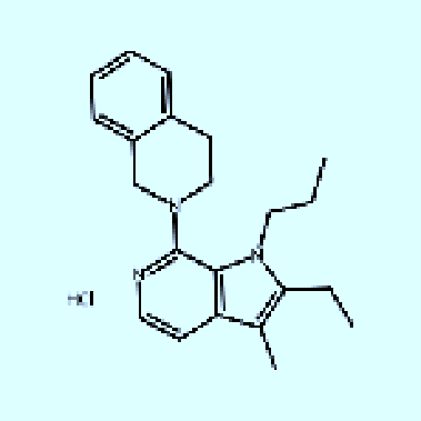 CCCn1c(CC)c(C)c2ccnc(N3CCc4ccccc4C3)c21.Cl